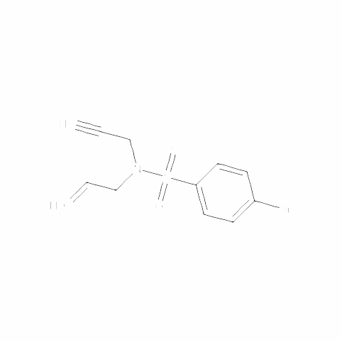 C#CCN(CC=C)S(=O)(=O)c1ccc(Br)cc1